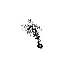 CC(C)[C@@H](C(=O)O)N(C)C(=O)[C@@H](C)CN(C)S(=O)(=O)N1CC(OCc2ccccc2)C1